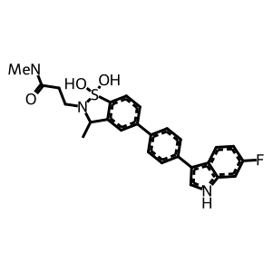 CNC(=O)CCN1C(C)c2cc(-c3ccc(-c4c[nH]c5cc(F)ccc45)cc3)ccc2S1(O)O